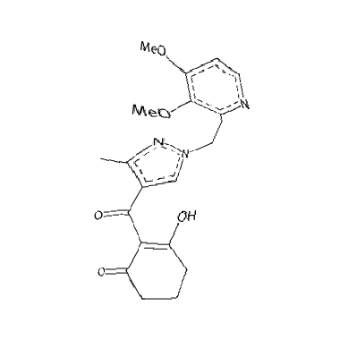 COc1ccnc(Cn2cc(C(=O)C3=C(O)CCCC3=O)c(C)n2)c1OC